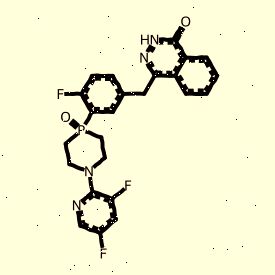 O=c1[nH]nc(Cc2ccc(F)c(P3(=O)CCN(c4ncc(F)cc4F)CC3)c2)c2ccccc12